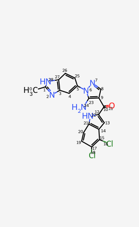 Cc1nc2cc(-n3ncc(C(=O)c4cc5c(Cl)c(Cl)ccc5[nH]4)c3N)ccc2[nH]1